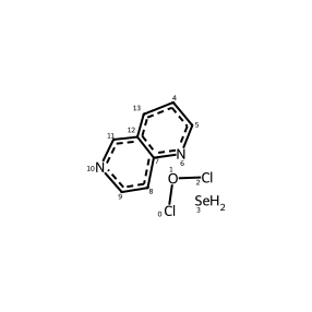 ClOCl.[SeH2].c1cnc2ccncc2c1